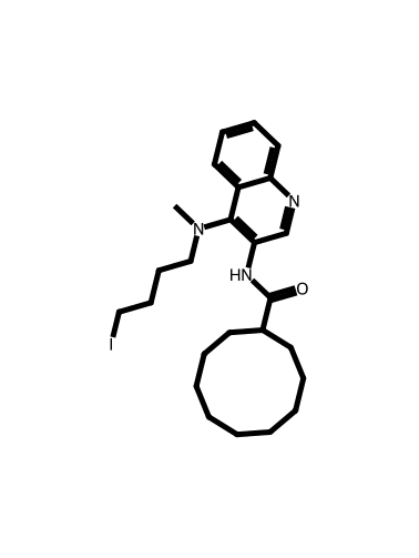 CN(CCCCI)c1c(NC(=O)C2CCCCCCCCC2)cnc2ccccc12